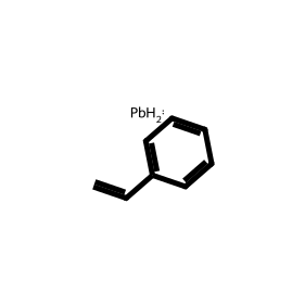 C=Cc1ccccc1.[PbH2]